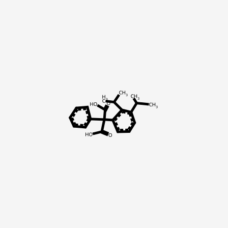 CC(C)c1cccc(C(C(=O)O)(C(=O)O)c2ccccc2)c1C(C)C